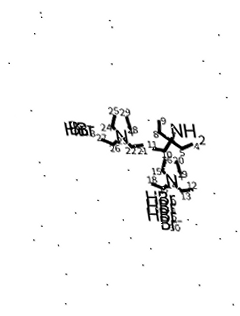 Br.Br.Br.Br.CCC(N)(CC)CC.CC[N+](CC)(CC)CC.CC[N+](CC)(CC)CC.[Br-].[Br-]